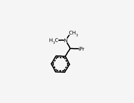 CC(C)C(c1ccccc1)N(C)C